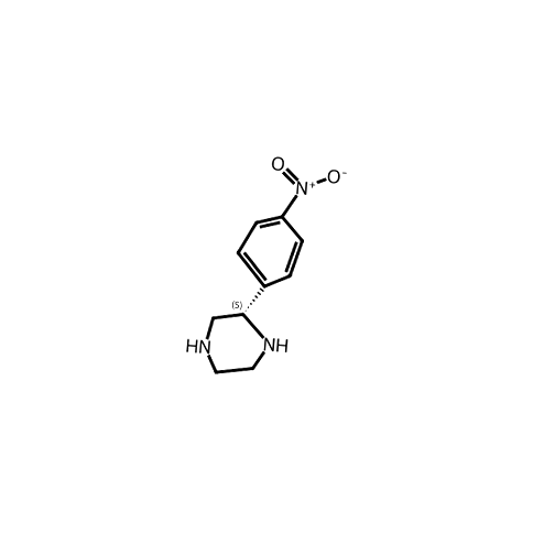 O=[N+]([O-])c1ccc([C@H]2CNCCN2)cc1